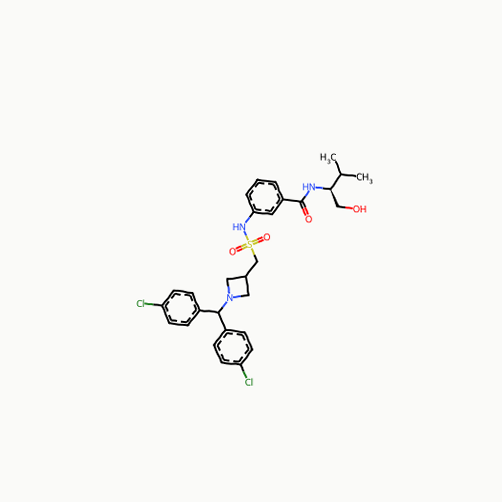 CC(C)[C@@H](CO)NC(=O)c1cccc(NS(=O)(=O)CC2CN(C(c3ccc(Cl)cc3)c3ccc(Cl)cc3)C2)c1